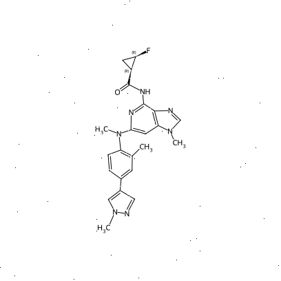 Cc1cc(-c2cnn(C)c2)ccc1N(C)c1cc2c(ncn2C)c(NC(=O)[C@H]2C[C@H]2F)n1